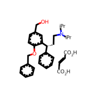 CC(C)N(CC[C@H](c1ccccc1)c1cc(CO)ccc1OCc1ccccc1)C(C)C.O=C(O)/C=C/C(=O)O